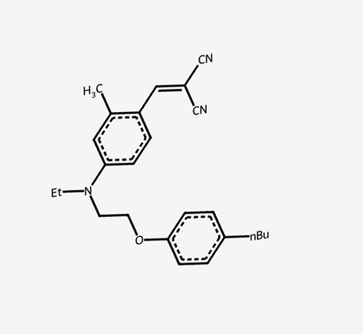 CCCCc1ccc(OCCN(CC)c2ccc(C=C(C#N)C#N)c(C)c2)cc1